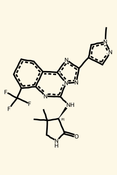 Cn1cc(-c2nc3c4cccc(C(F)(F)F)c4nc(N[C@H]4C(=O)NCC4(C)C)n3n2)cn1